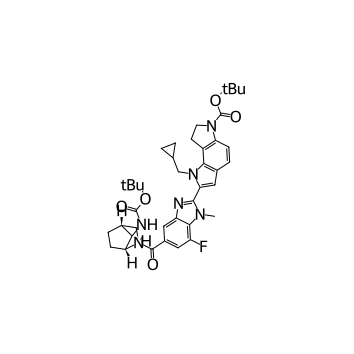 Cn1c(-c2cc3ccc4c(c3n2CC2CC2)CCN4C(=O)OC(C)(C)C)nc2cc(C(=O)N3C[C@H]4CC[C@@H]3[C@@H]4NC(=O)OC(C)(C)C)cc(F)c21